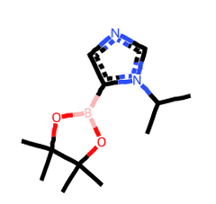 CC(C)n1cncc1B1OC(C)(C)C(C)(C)O1